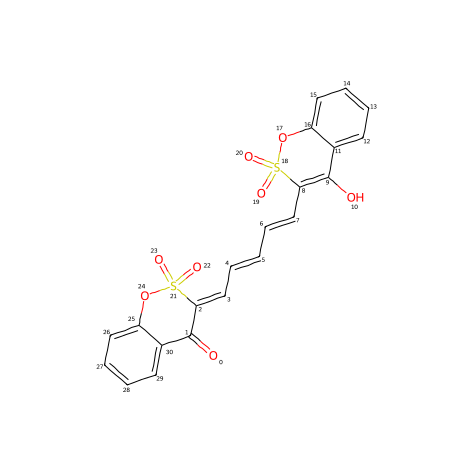 O=C1/C(=C/C=CC=CC2=C(O)c3ccccc3OS2(=O)=O)S(=O)(=O)Oc2ccccc21